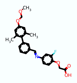 COCOc1cc(C)c(-c2cccc(C=Nc3ccc(OCC(=O)O)c(F)c3)c2)c(C)c1